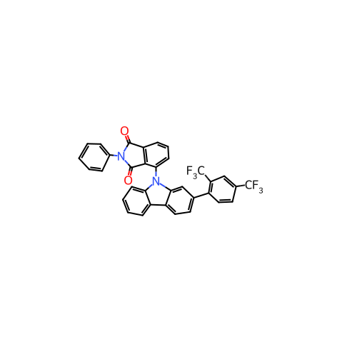 O=C1c2cccc(-n3c4ccccc4c4ccc(-c5ccc(C(F)(F)F)cc5C(F)(F)F)cc43)c2C(=O)N1c1ccccc1